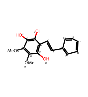 COc1c(O)c(O)c(C=Cc2ccccc2)c(O)c1OC